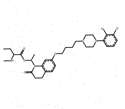 CCC(NC)C(=O)OC(C)N1C(=O)CCc2ccc(OCCCCN3CCN(c4cccc(Cl)c4Cl)CC3)cc21